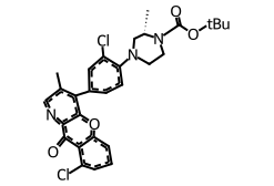 Cc1cnc2c(=O)c3c(Cl)cccc3oc2c1-c1ccc(N2CCN(C(=O)OC(C)(C)C)[C@@H](C)C2)c(Cl)c1